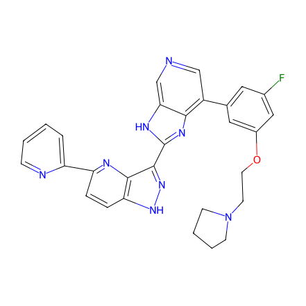 Fc1cc(OCCN2CCCC2)cc(-c2cncc3[nH]c(-c4n[nH]c5ccc(-c6ccccn6)nc45)nc23)c1